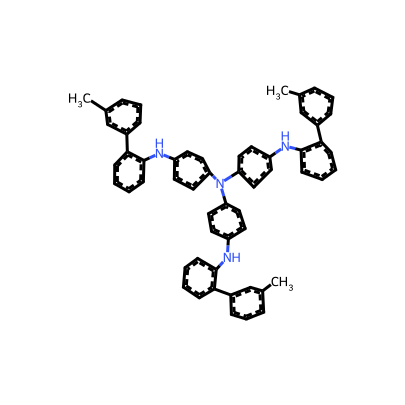 Cc1cccc(-c2ccccc2Nc2ccc(N(c3ccc(Nc4ccccc4-c4cccc(C)c4)cc3)c3ccc(Nc4ccccc4-c4cccc(C)c4)cc3)cc2)c1